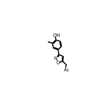 CC(=O)Cc1cc(-c2ccc(O)c(C)c2)no1